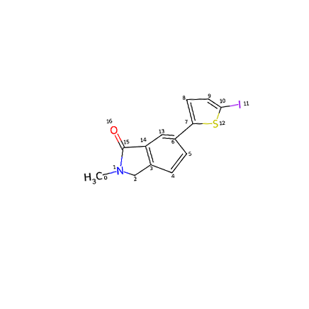 CN1Cc2ccc(-c3ccc(I)s3)cc2C1=O